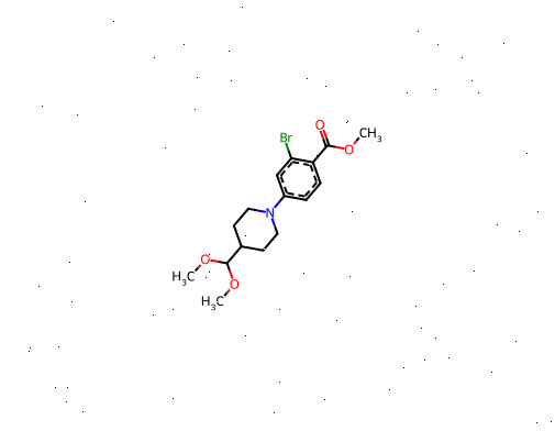 COC(=O)c1ccc(N2CCC(C(OC)OC)CC2)cc1Br